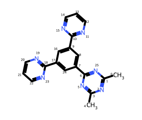 Cc1nc(C)nc(-c2cc(-c3ncccn3)cc(-c3ncccn3)c2)n1